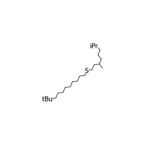 CC(C)CCCC(C)CCSCCCCCCCCCC(C)(C)C